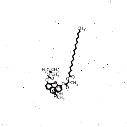 CCCCCCCCCCCCCCCCCC(=O)O[C@@H](C)C(=O)OC1=CC[C@@]2(O)[C@H]3Cc4ccc(OC(=O)OC(C)(C)C)c5c4[C@@]2(CCN3C)[C@H]1O5